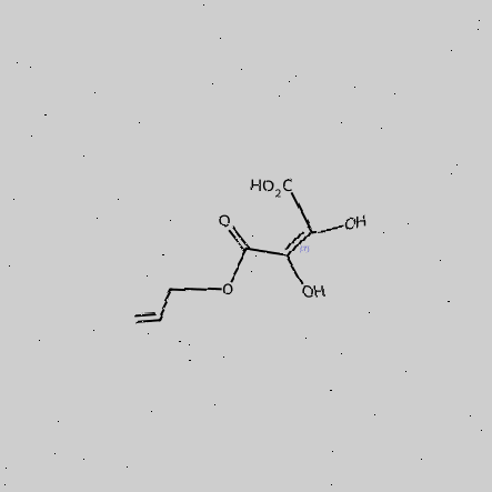 C=CCOC(=O)/C(O)=C(/O)C(=O)O